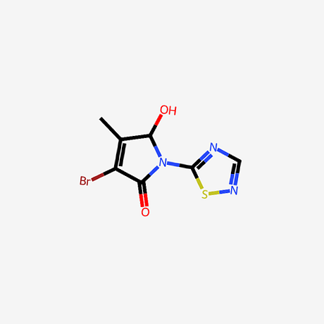 CC1=C(Br)C(=O)N(c2ncns2)C1O